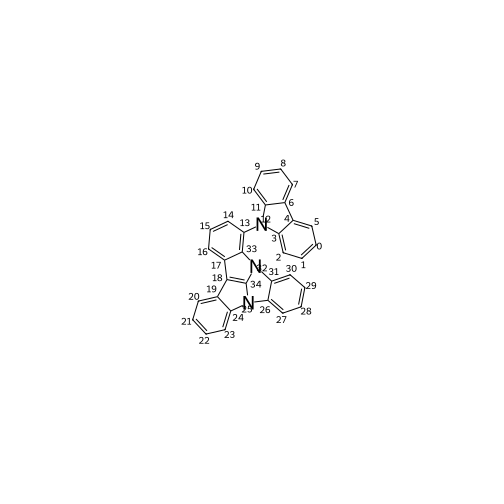 c1ccc2c(c1)c1ccccc1n2-c1cccc2c3c4ccccc4n4c5ccccc5n(c12)c34